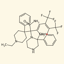 CCN1CCC(c2ccccc2)(C(C(N)=O)(c2ccc(C(F)(F)F)c(C(F)(F)F)c2)N2CCNCC2(C)c2ccccc2)CC1